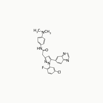 CN(C)c1ccc(NC(=O)Cc2cc(-c3ccc4nccnc4c3)n(-c3cc(Cl)ccc3F)n2)cc1